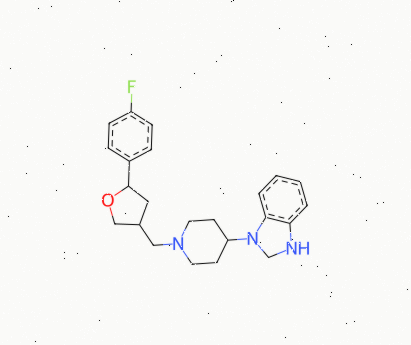 Fc1ccc(C2CC(CN3CCC(N4CNc5ccccc54)CC3)CO2)cc1